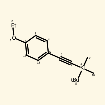 CCOc1ccc(C#C[Si](C)(C)C(C)(C)C)cc1